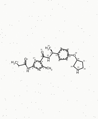 CCC(=O)Nc1nc(C)c(C(=O)N[C@@H](C)c2ccc(OC3CCNC3)cc2)s1